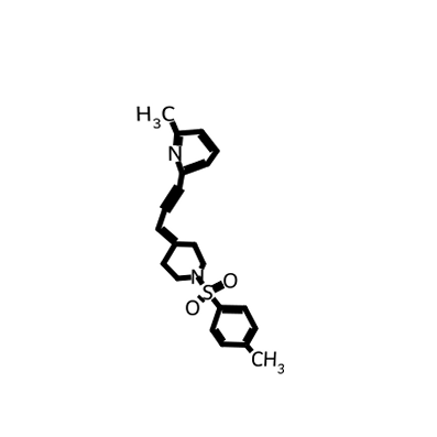 Cc1ccc(S(=O)(=O)N2CCC(=CC#Cc3cccc(C)n3)CC2)cc1